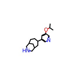 CC(C)Oc1cncc(C2CCC3CNCC(C3)C2)c1